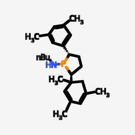 CCCCNP1[C@H](C2(C)C=C(C)C=C(C)C2)CC[C@H]1c1cc(C)cc(C)c1